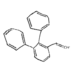 [CH]=Cc1cccc(-c2ccccc2)c1-c1ccccc1